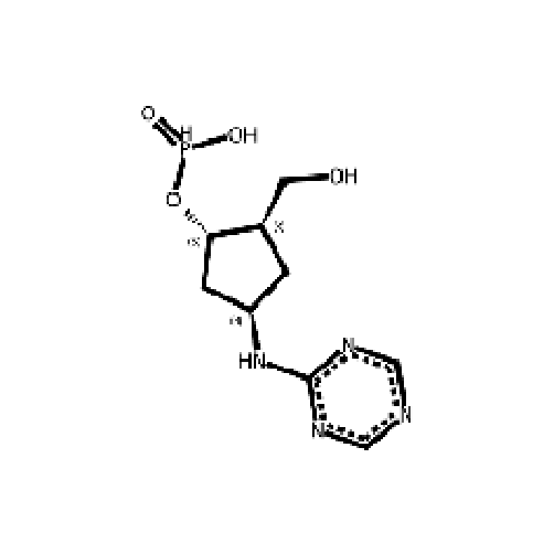 O=[PH](O)O[C@H]1C[C@H](Nc2ncncn2)C[C@@H]1CO